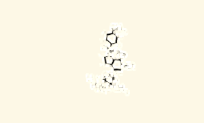 CCn1cc(B2OC(C)(C)C(C)(C)O2)c2ccn(S(=O)(=O)c3ccc(C)cc3)c2c1=O